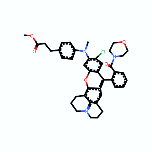 COC(=O)CCc1ccc(N(C)c2cc3c(cc2Cl)C(c2ccccc2C(=O)N2CCOCC2)=c2cc4c5c(c2O3)CCC[N+]=5CCC4)cc1